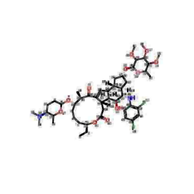 CC[C@H]1CCC[C@H](OC2CC[C@H](N(C)C)C(C)O2)[C@@H](C)C(=O)C2=C[C@H]3[C@@H]4C[C@H](O[C@@H]5OC(C)[C@H](OC)C(OC)C5OC)C[C@H]4[C@H](Nc4ccc(F)cc4F)[C@@H](O)[C@H]3[C@@H]2CC(=O)O1